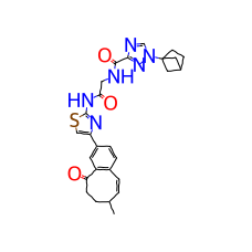 CC1/C=C\c2ccc(-c3csc(NC(=O)CNC(=O)c4ncn(C56CCC(C5)C6)n4)n3)cc2C(=O)CC1